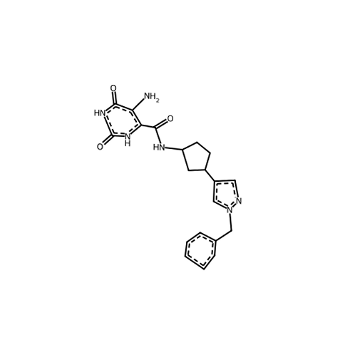 Nc1c(C(=O)NC2CCC(c3cnn(Cc4ccccc4)c3)C2)[nH]c(=O)[nH]c1=O